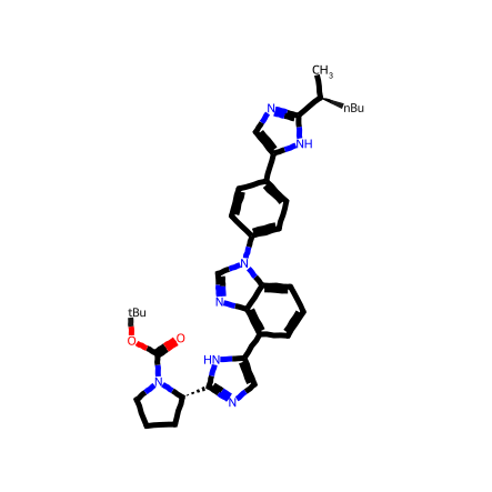 CCCC[C@H](C)c1ncc(-c2ccc(-n3cnc4c(-c5cnc([C@@H]6CCCN6C(=O)OC(C)(C)C)[nH]5)cccc43)cc2)[nH]1